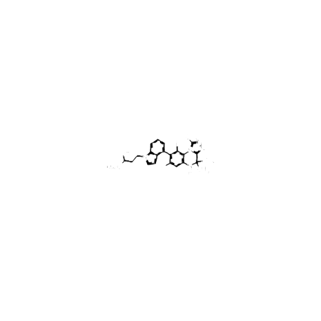 COC(O)CCn1ccc2c(-c3c(F)cc4c(c3F)-n3c(C)nnc3C(C)(C)N4)cccc21